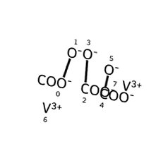 O=C([O-])[O-].O=C([O-])[O-].O=C([O-])[O-].[V+3].[V+3]